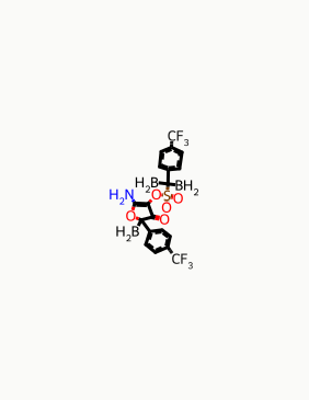 BC1(c2ccc(C(F)(F)F)cc2)OC(N)=C(OS(=O)(=O)C(B)(B)c2ccc(C(F)(F)F)cc2)C1=O